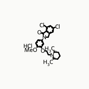 COc1ccc(N2Cc3cc(Cl)cc(Cl)c3C2=O)cc1OCCN1[C@H](C)CCC[C@@H]1C.Cl